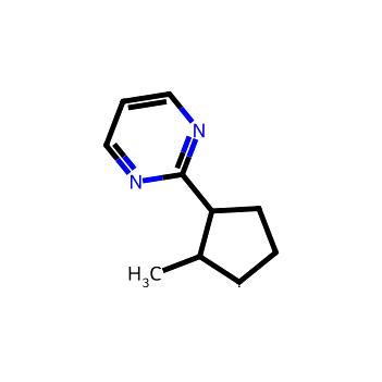 CC1[CH]CCC1c1ncccn1